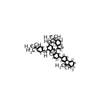 Cc1cc(Nc2ccc(C(C)(C)C)cc2)c(Cl)c(N(c2cccc(-c3ccc4c(c3)C(C)(C)c3ccccc3-4)c2)c2csc3ccc(C(C)(C)C)cc23)c1